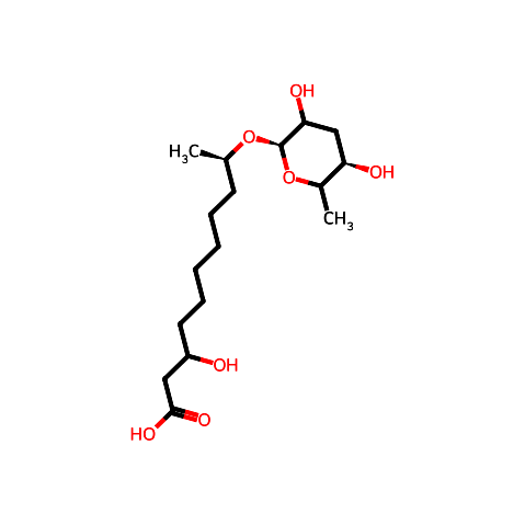 CC1O[C@@H](O[C@H](C)CCCCCCC(O)CC(=O)O)C(O)C[C@H]1O